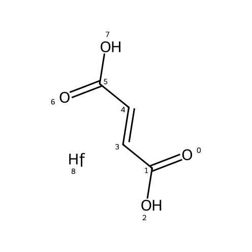 O=C(O)/C=C/C(=O)O.[Hf]